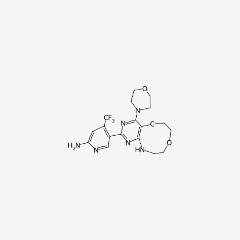 Nc1cc(C(F)(F)F)c(-c2nc3c(c(N4CCOCC4)n2)CCCOCCN3)cn1